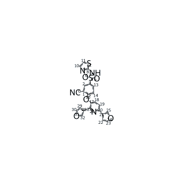 N#Cc1cc(S(=O)(=O)Nc2nccs2)ccc1Oc1ccc(-c2ccoc2)nc1-c1ccoc1